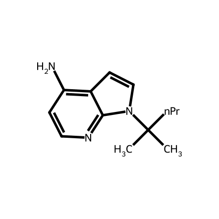 CCCC(C)(C)n1ccc2c(N)ccnc21